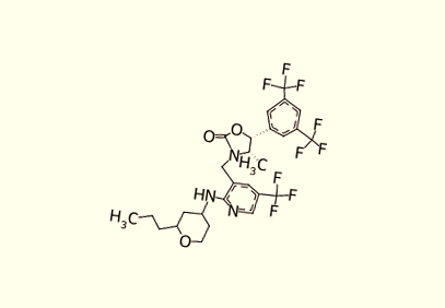 CCCC1CC(Nc2ncc(C(F)(F)F)cc2CN2C(=O)O[C@H](c3cc(C(F)(F)F)cc(C(F)(F)F)c3)[C@@H]2C)CCO1